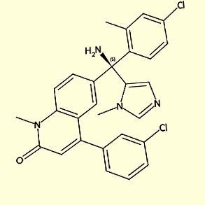 Cc1cc(Cl)ccc1[C@@](N)(c1ccc2c(c1)c(-c1cccc(Cl)c1)cc(=O)n2C)c1cncn1C